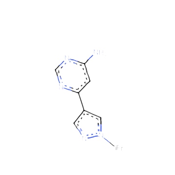 CC(C)n1cc(-c2cc(N)ncn2)cn1